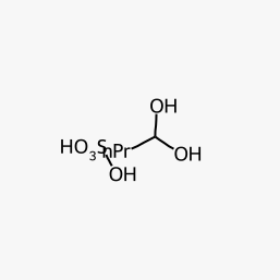 CCCC(O)O.O=S(=O)(O)O